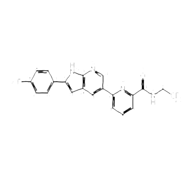 O=C(NCC(F)(F)F)c1cccc(-c2cnc3[nH]c(-c4ccc(F)cc4)cc3c2)n1